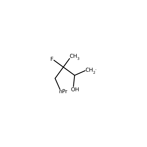 [CH2]C(O)C(C)(F)CCCC